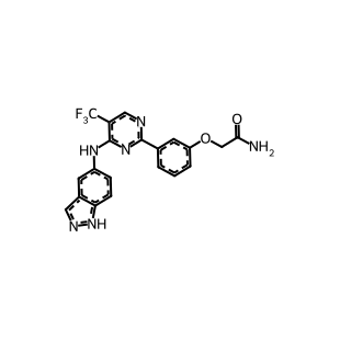 NC(=O)COc1cccc(-c2ncc(C(F)(F)F)c(Nc3ccc4[nH]ncc4c3)n2)c1